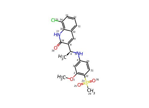 COc1cc(N[C@@H](C)c2cc3cccc(Cl)c3[nH]c2=O)ccc1S(C)(=O)=O